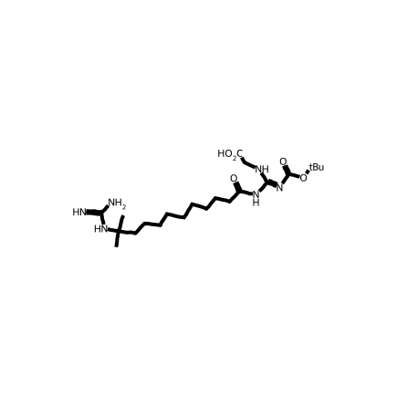 CC(C)(CCCCCCCCCC(=O)NC(=NC(=O)OC(C)(C)C)NCC(=O)O)NC(=N)N